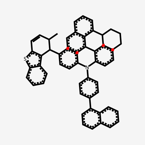 CC1C=Cc2sc3ccccc3c2C1c1ccc(N(c2ccc(-c3cccc4ccccc34)cc2)c2ccccc2-c2cccc3cccc(C4CCCCC4)c23)cc1